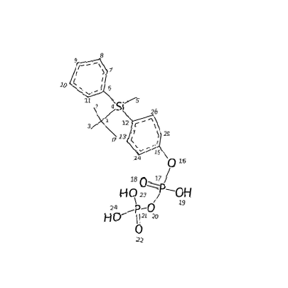 CC(C)(C)[Si](C)(c1ccccc1)c1ccc(OP(=O)(O)OP(=O)(O)O)cc1